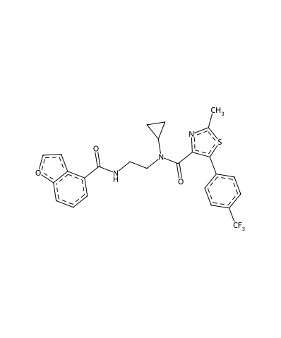 Cc1nc(C(=O)N(CCNC(=O)c2cccc3occc23)C2CC2)c(-c2ccc(C(F)(F)F)cc2)s1